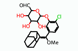 COC(=C1C2CC3CC(C2)CC1C3)c1ccc(Cl)c(OC2OC(C=O)C(O)C(O)C2O)c1